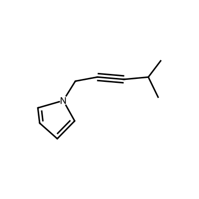 CC(C)C#CCn1cccc1